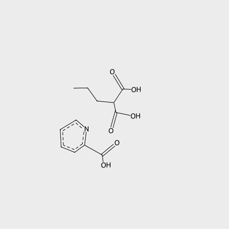 CCCC(C(=O)O)C(=O)O.O=C(O)c1ccccn1